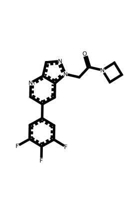 O=C(Cn1ncc2ncc(-c3cc(F)c(F)c(F)c3)cc21)N1CCC1